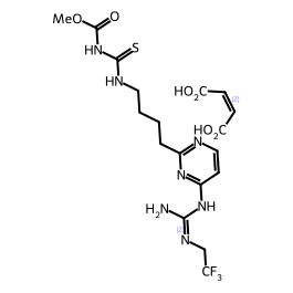 COC(=O)NC(=S)NCCCCc1nccc(N/C(N)=N\CC(F)(F)F)n1.O=C(O)/C=C\C(=O)O